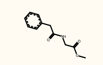 COC(=O)CNC(=O)Cc1ccccc1